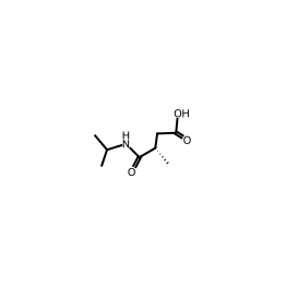 CC(C)NC(=O)[C@@H](C)CC(=O)O